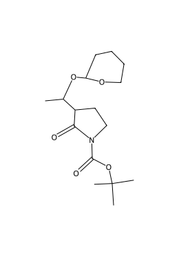 CC(OC1CCCCO1)C1CCN(C(=O)OC(C)(C)C)C1=O